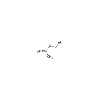 CCCCO[SiH](C)CCC